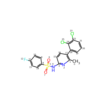 Cc1nc(NS(=O)(=O)c2ccc(F)cc2)ccc1-c1cccc(Cl)c1Cl